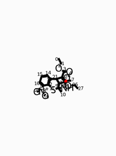 CCOC(=O)C1=C(C)NC2(C)Sc3c(cccc3[N+](=O)[O-])C1C2C(=O)OCC